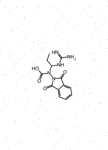 CCC(NC(=N)N)N(C(=O)O)N1C(=O)c2ccccc2C1=O